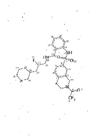 O=C(N1CCc2ccc(S(=O)(=O)Nc3ccccc3CNCC(F)CC3CCCCC3)cc2C1)C(F)(F)F